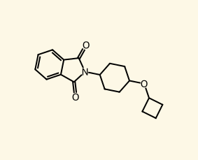 O=C1c2ccccc2C(=O)N1C1CCC(OC2CCC2)CC1